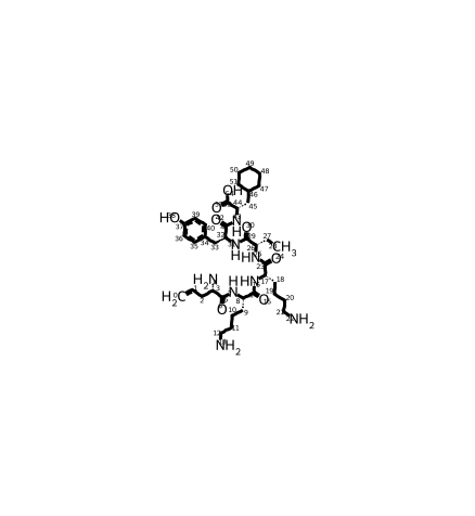 C=CC[C@H](N)C(=O)N[C@@H](CCCCN)C(=O)N[C@@H](CCCCN)C(=O)N[C@@H](CC)C(=O)N[C@@H](Cc1ccc(O)cc1)C(=O)N[C@@H](CC1CCCCC1)C(=O)O